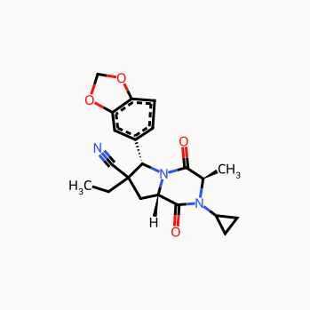 CCC1(C#N)C[C@H]2C(=O)N(C3CC3)[C@H](C)C(=O)N2[C@H]1c1ccc2c(c1)OCO2